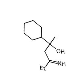 [CH2]C(O)(CC(=N)CC)C1CCCCC1